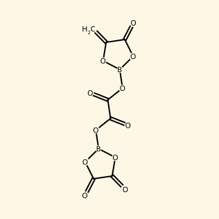 C=C1OB(OC(=O)C(=O)OB2OC(=O)C(=O)O2)OC1=O